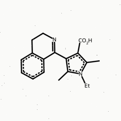 CCn1c(C)c(C(=O)O)c(C2=NCCc3ccccc32)c1C